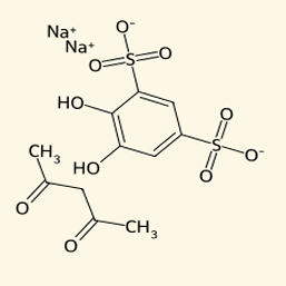 CC(=O)CC(C)=O.O=S(=O)([O-])c1cc(O)c(O)c(S(=O)(=O)[O-])c1.[Na+].[Na+]